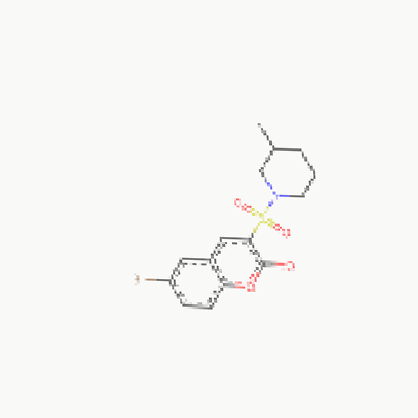 CC1CCCN(S(=O)(=O)c2cc3cc(Br)ccc3oc2=O)C1